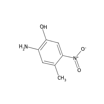 Cc1cc(N)c(O)cc1[N+](=O)[O-]